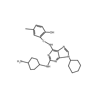 Cc1ccc(O)c(CNc2nc(NC3CCC(N)CC3)nc3c2ncn3C2CCCCC2)c1